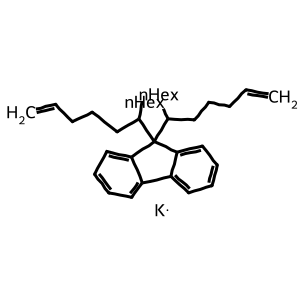 C=CCCCC(CCCCCC)C1(C(CCCC=C)CCCCCC)c2ccccc2-c2ccccc21.[K]